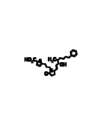 C[C@@H](CCCCc1ccccc1)[C@H](O)C=C[C@H]1CCC(=O)N1CCCc1ccc(C(=O)O)s1